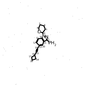 Pc1nn(C2CCCCO2)c2ccc(C#CC3CCC3)cc12